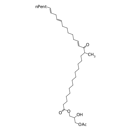 CCCCCC=CCC=CCCCCCC=CC(=O)C(C)CCCCCCCCCCCCCC(=O)OCC(O)COC(C)=O